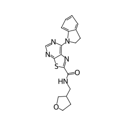 O=C(NCC1CCOC1)c1nc2c(N3CCc4ccccc43)ncnc2s1